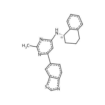 Cc1nc(N[C@H]2CCCc3ccccc32)cc(-c2ccc3ncsc3c2)n1